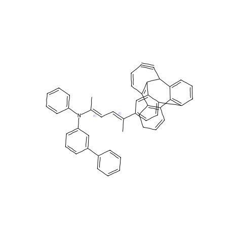 C/C(=C\C=C(/C)N(c1ccccc1)c1cccc(-c2ccccc2)c1)c1ccc2c(c1)C1=C3C=CC#CC1c1cccc-2c1C1=C3CCC=C1